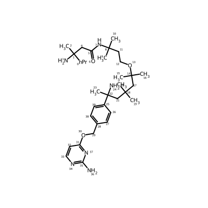 CCCC(C)(N)CC(=O)NC(C)(C)CCOC(C)(C)CC(C)(C)CC(C)(N)c1ccc(COc2ccnc(N)n2)cc1